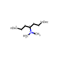 CCCCCCCCCCCCC(CCCCCCCCCCCC)N(C)C